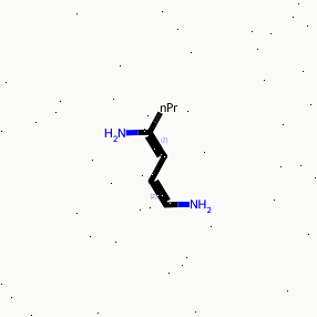 CCC/C(N)=C/C=C\N